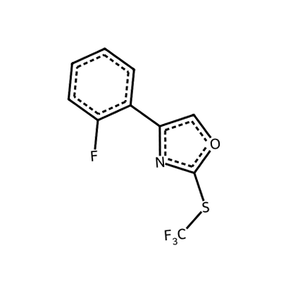 Fc1ccccc1-c1coc(SC(F)(F)F)n1